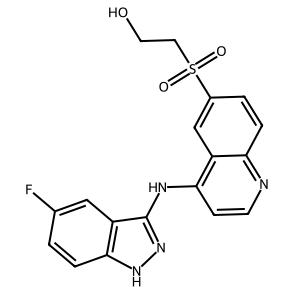 O=S(=O)(CCO)c1ccc2nccc(Nc3n[nH]c4ccc(F)cc34)c2c1